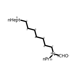 CCCCCCCCCCCCCCN([C]=O)CCC